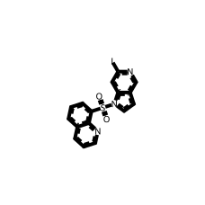 O=S(=O)(c1cccc2cccnc12)n1ccc2cnc(I)cc21